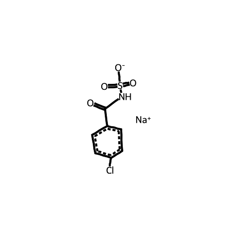 O=C(NS(=O)(=O)[O-])c1ccc(Cl)cc1.[Na+]